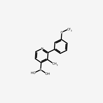 Cc1c(B(O)O)ccnc1-c1cccc(OC(F)(F)F)c1